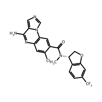 CN(C(=O)c1cc2c(cc1Cl)nc(N)c1cncn12)[C@@H]1COc2cc(C(F)(F)F)ccc21